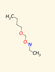 CCCCOCO[N]CC